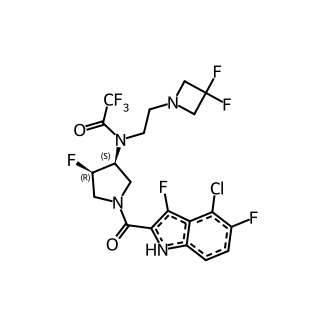 O=C(c1[nH]c2ccc(F)c(Cl)c2c1F)N1C[C@@H](F)[C@@H](N(CCN2CC(F)(F)C2)C(=O)C(F)(F)F)C1